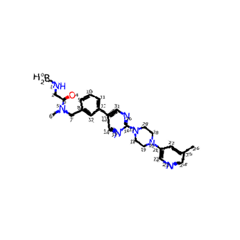 BNCC(=O)N(C)Cc1cccc(-c2cnc(N3CCN(c4cncc(C)c4)CC3)nc2)c1